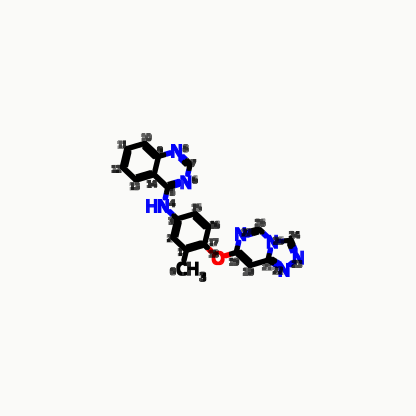 Cc1cc(Nc2ncnc3ccccc23)ccc1Oc1cc2nncn2cn1